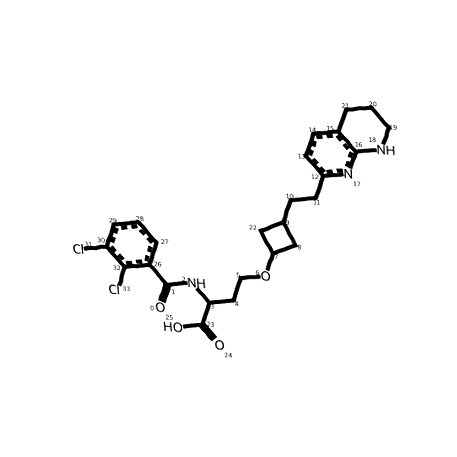 O=C(NC(CCOC1CC(CCc2ccc3c(n2)NCCC3)C1)C(=O)O)c1cccc(Cl)c1Cl